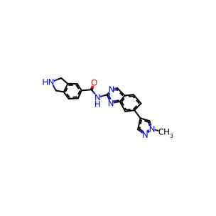 Cn1cc(-c2ccc3cnc(NC(=O)c4ccc5c(c4)CNC5)nc3c2)cn1